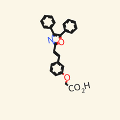 O=C(O)COc1cccc(/C=C/c2nc(-c3ccccc3)c(-c3ccccc3)o2)c1